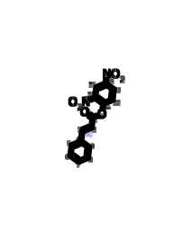 O=C(/C=C/c1ccccc1)Oc1ccc([N+](=O)[O-])cc1[N+](=O)[O-]